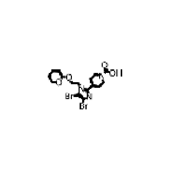 O=C(O)N1CCC(c2nc(Br)c(Br)n2CCOC2CCCCO2)CC1